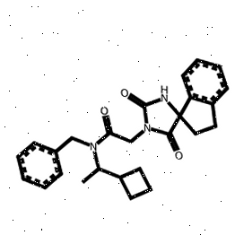 CC(C1CCC1)N(Cc1ccccc1)C(=O)CN1C(=O)NC2(CCc3ccccc32)C1=O